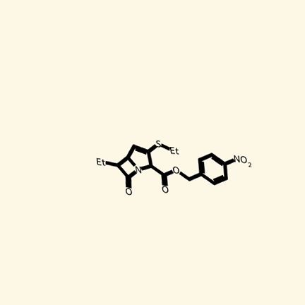 CCSC1=CC2C(CC)C(=O)N2C1C(=O)OCc1ccc([N+](=O)[O-])cc1